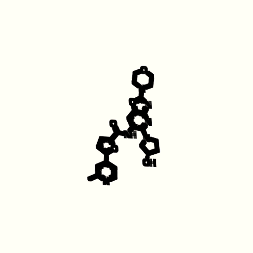 Cc1cc(-c2ccc(C(=O)Nc3cc4oc(N5CCOCC5)nc4nc3N3CC[C@@H](O)C3)o2)ccn1